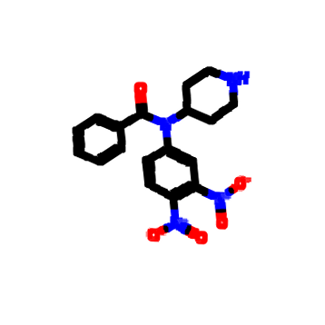 O=C(c1ccccc1)N(c1ccc([N+](=O)[O-])c([N+](=O)[O-])c1)C1CCNCC1